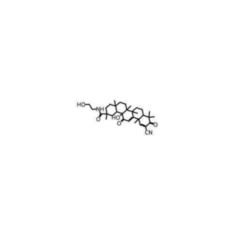 CC1(C(=O)NCCO)CCC2(C)CCC3(C)C4(C)CCC5C(C)(C)C(=O)C(C#N)=CC5(C)C4=CC(=O)C3(O)C2C1